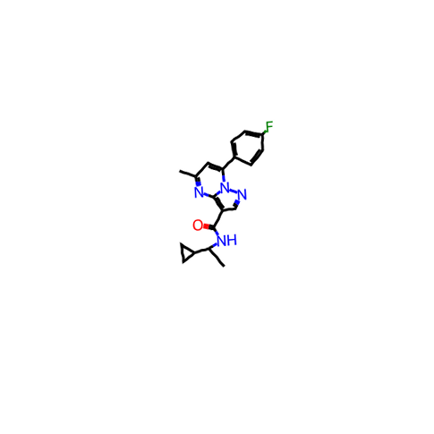 Cc1cc(-c2ccc(F)cc2)n2ncc(C(=O)NC(C)C3CC3)c2n1